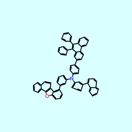 c1ccc(-c2c(-c3ccccc3)c3cc(-c4ccc(N(c5cccc(-c6cccc7ccccc67)c5)c5cccc(-c6cccc7oc8c9ccccc9ccc8c67)c5)cc4)ccc3c3ccccc23)cc1